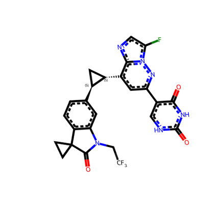 O=C1N(CC(F)(F)F)c2cc([C@H]3C[C@@H]3c3cc(-c4c[nH]c(=O)[nH]c4=O)nn4c(F)cnc34)ccc2C12CC2